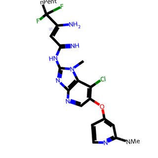 CCCCCC(F)(F)/C(N)=C/C(=N)Nc1nc2ncc(Oc3ccnc(NC)c3)c(Cl)c2n1C